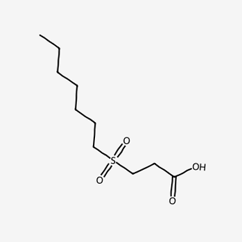 CCCCCCCS(=O)(=O)CCC(=O)O